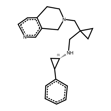 c1ccc(C2C[C@@H]2NCC2(CN3CCc4ccncc4C3)CC2)cc1